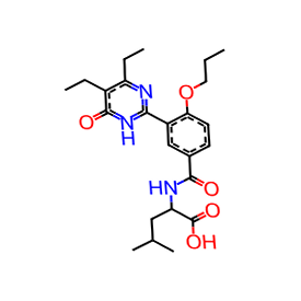 CCCOc1ccc(C(=O)NC(CC(C)C)C(=O)O)cc1-c1nc(CC)c(CC)c(=O)[nH]1